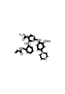 C=CC(=O)Nc1ccccc1Nc1nc(Nc2ccc(N3CCOCC3)cc2OC)ncc1C(N)=O